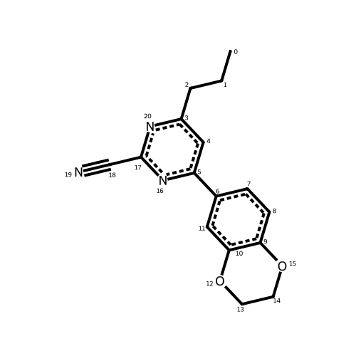 CCCc1cc(-c2ccc3c(c2)OCCO3)nc(C#N)n1